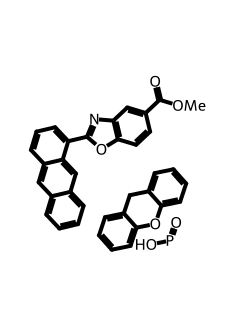 COC(=O)c1ccc2oc(-c3cccc4cc5ccccc5cc34)nc2c1.O=PO.c1ccc2c(c1)Cc1ccccc1O2